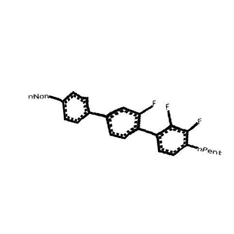 CCCCCCCCCc1ccc(-c2ccc(-c3ccc(CCCCC)c(F)c3F)c(F)c2)cc1